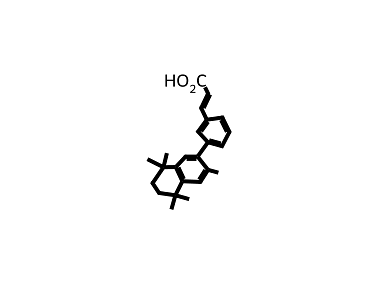 Cc1cc2c(cc1-c1cccc(C=CC(=O)O)c1)C(C)(C)CCC2(C)C